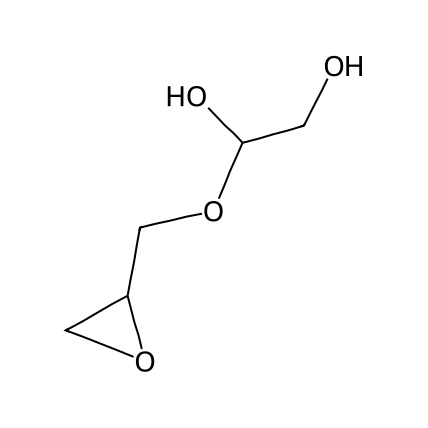 OCC(O)OCC1CO1